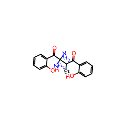 CCC(C(=O)c1ccccc1O)C(N)(N)C(=O)c1ccccc1O